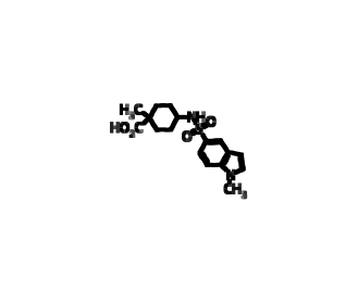 Cn1ccc2cc(S(=O)(=O)NC3CCC(C)(C(=O)O)CC3)ccc21